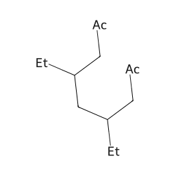 CCC(CC(C)=O)CC(CC)CC(C)=O